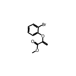 C=C(Oc1ccccc1Br)C(=O)OC